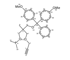 C#CCOCC(C)(COP(C)C)COC(c1ccccc1)(c1ccc(OC)cc1)c1ccc(OC)cc1